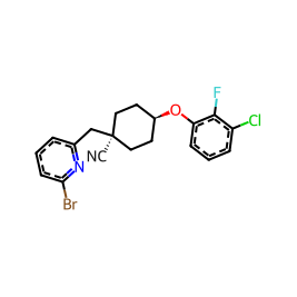 N#C[C@]1(Cc2cccc(Br)n2)CC[C@@H](Oc2cccc(Cl)c2F)CC1